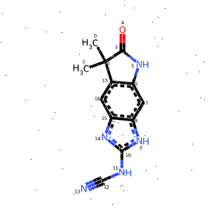 CC1(C)C(=O)Nc2cc3[nH]c(NC#N)nc3cc21